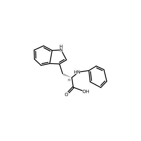 O=C(O)[C@H](Cc1c[nH]c2ccccc12)Nc1ccccc1